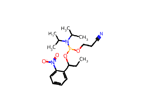 CCC(OP(OCCC#N)N(C(C)C)C(C)C)c1ccccc1[N+](=O)[O-]